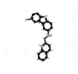 Fc1ccc2oc3ccc(NCc4ccc5ccccc5n4)cc3c2c1